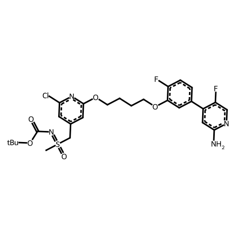 CC(C)(C)OC(=O)N=S(C)(=O)Cc1cc(Cl)nc(OCCCCOc2cc(-c3cc(N)ncc3F)ccc2F)c1